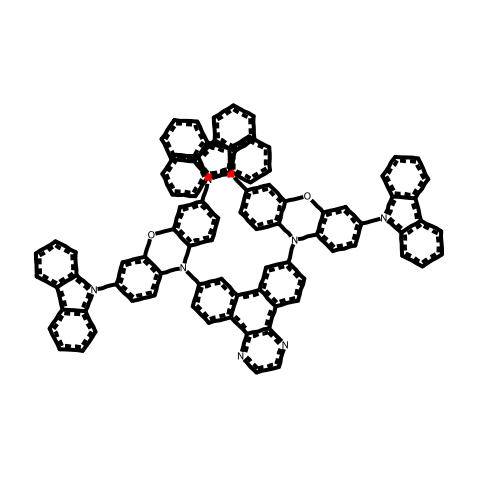 c1ccc2c(c1)c1ccccc1n2-c1ccc2c(c1)Oc1cc(-n3c4ccccc4c4ccccc43)ccc1N2c1ccc2c(c1)c1cc(N3c4ccc(-n5c6ccccc6c6ccccc65)cc4Oc4cc(-n5c6ccccc6c6ccccc65)ccc43)ccc1c1nccnc21